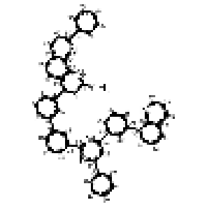 Cc1cc(-c2cccc(-c3cccc(-c4nc(-c5ccccc5)cc(-c5cccc(-c6cccc7cccnc67)c5)n4)c3)c2)c2ccc3ccc(-c4ccccc4)nc3c2n1